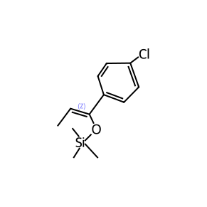 C/C=C(\O[Si](C)(C)C)c1ccc(Cl)cc1